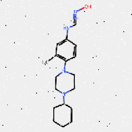 Cc1cc(N/C=N/O)ccc1N1CCN(C2CCCCC2)CC1